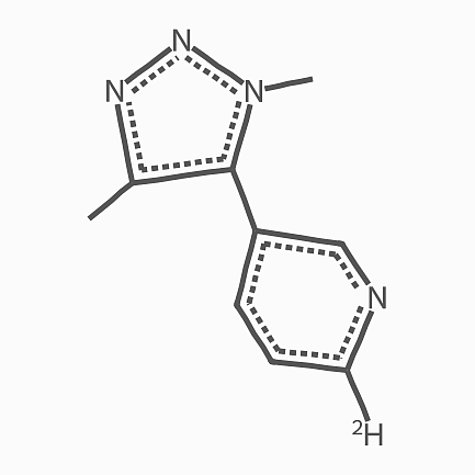 [2H]c1ccc(-c2c(C)nnn2C)cn1